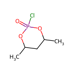 CC1CC(C)OP(=O)(Cl)O1